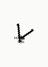 CC(C)CCCCCCCCCCC[C@@H](O)[C@H](CS(=O)(=O)O)NC(=O)C(=O)CCCCCCCCCCC(C)C